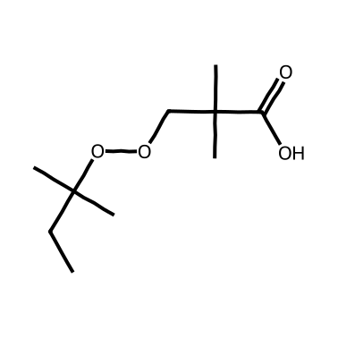 CCC(C)(C)OOCC(C)(C)C(=O)O